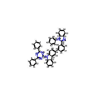 c1ccc(-c2nc(-c3ccccc3)nc(-n3c4ccccc4c4cc(-c5cccc(-c6nc7ccccc7n6-c6ccccc6)c5)ccc43)n2)cc1